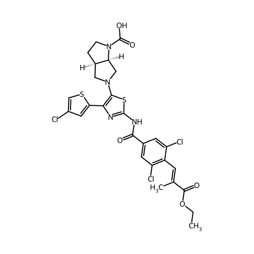 CCOC(=O)/C(C)=C/c1c(Cl)cc(C(=O)Nc2nc(-c3cc(Cl)cs3)c(N3C[C@H]4CCN(C(=O)O)[C@H]4C3)s2)cc1Cl